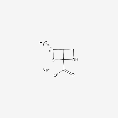 C[C@H]1SC2(C(=O)[O-])NCC12.[Na+]